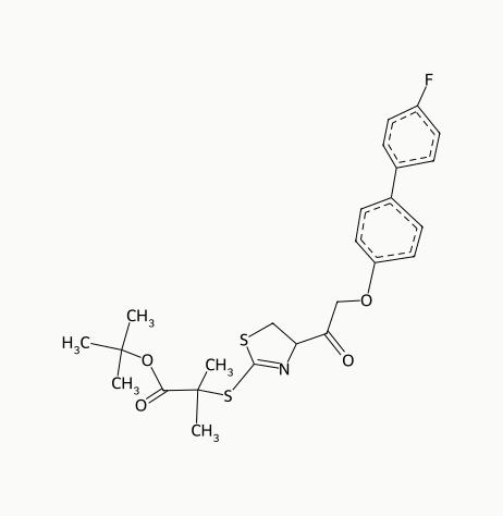 CC(C)(C)OC(=O)C(C)(C)SC1=NC(C(=O)COc2ccc(-c3ccc(F)cc3)cc2)CS1